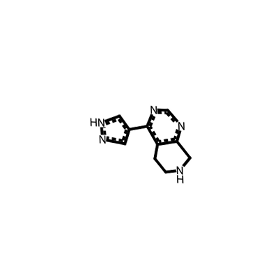 c1nc2c(c(-c3cn[nH]c3)n1)CCNC2